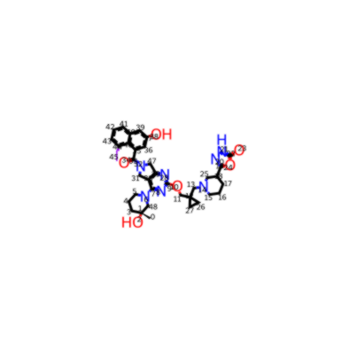 C[C@@]1(O)CCCN(c2nc(OCC3(CN4CCCC(c5n[nH]c(=O)o5)C4)CC3)nc3c2CN(C(=O)c2cc(O)cc4cccc(I)c24)C3)C1